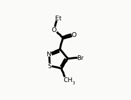 CCOC(=O)c1nsc(C)c1Br